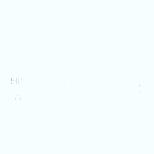 CCC1(CCOCC2(CC)CCOP2)COC1